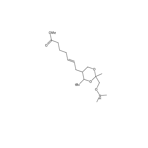 COC(=O)CCCC=CCC1COC(C)(CO[SiH](C)C)OC1C(C)(C)C